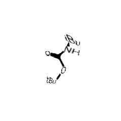 [CH2]C[C@H]([CH2])NC(=O)OC(C)(C)C